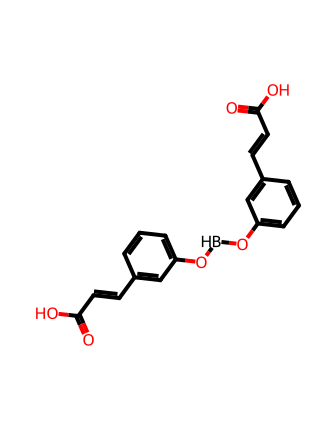 O=C(O)C=Cc1cccc(OBOc2cccc(C=CC(=O)O)c2)c1